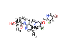 C/C(=C/C(OCc1ncc(Br)cc1F)=C(\C)Cl)N(C=O)c1cc(-n2cccc(C(C)(C)O)c2=O)ncc1C